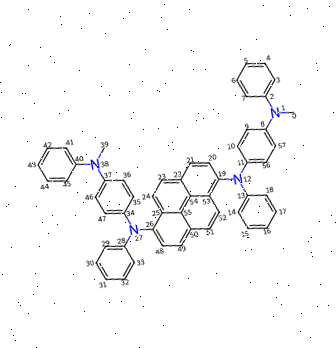 CN(c1ccccc1)c1ccc(N(c2ccccc2)c2ccc3ccc4c(N(c5ccccc5)c5ccc(N(C)c6ccccc6)cc5)ccc5ccc2c3c54)cc1